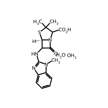 Cn1c(NC2C(=O)N3C(C(=O)O)C(C)(C)S[C@H]23)nc2ccccc21.O.O